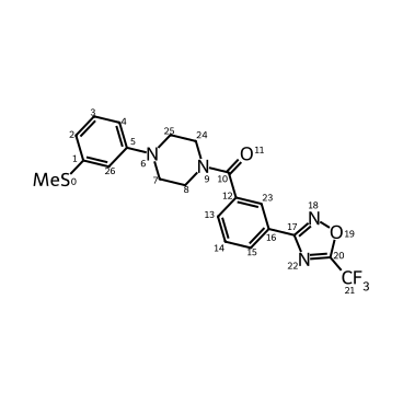 CSc1cccc(N2CCN(C(=O)c3cccc(-c4noc(C(F)(F)F)n4)c3)CC2)c1